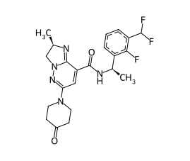 C[C@@H]1CN2N=C(N3CCC(=O)CC3)C=C(C(=O)N[C@H](C)c3cccc(C(F)F)c3F)C2=N1